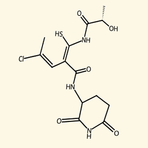 C/C(Cl)=C\C(C(=O)NC1CCC(=O)NC1=O)=C(/S)NC(=O)[C@H](C)O